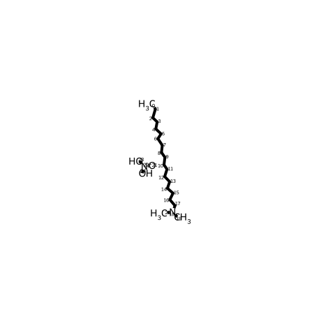 CCCCCCCCCCCCCCCCCCN(C)C.O=[N+](O)O